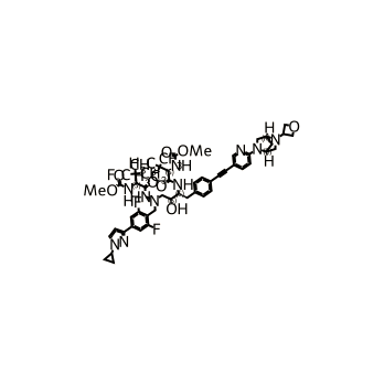 COC(=O)N[C@H](C(=O)N[C@@H](Cc1ccc(C#Cc2ccc(N3C[C@H]4C[C@@H]3CN4C3COC3)nc2)cc1)[C@@H](O)CN(Cc1c(F)cc(-c2ccn(C3CC3)n2)cc1F)NC(=O)[C@@H](NC(=O)OC)C(C)(C)C(F)(F)F)C(C)(C)C(F)(F)F